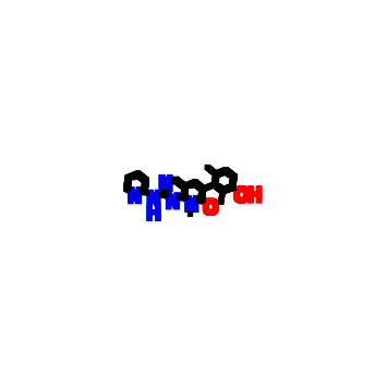 Cc1ccc(O)c(C)c1-c1cc2cnc(Nc3ccccn3)nc2n(C)c1=O